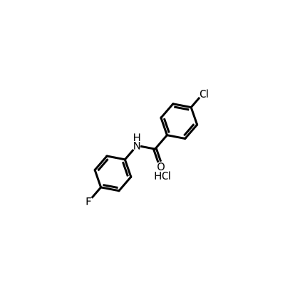 Cl.O=C(Nc1ccc(F)cc1)c1ccc(Cl)cc1